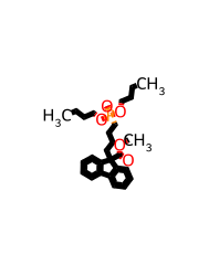 CCCCOP(=O)(CCCCC1(C(=O)OC)c2ccccc2-c2ccccc21)OCCCC